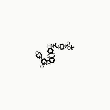 CC(CN1CCN(C(=O)OC(C)(C)C)CC1)Nc1ccc2c(c1)Sc1cccc(-c3cc(N4CCOCC4)cc(=O)[nH]3)c1S2